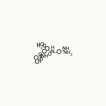 Cl.N=C(N)c1ccc(CNC(=O)c2cccc3ccc(NS(=O)(=O)c4cccc5cccnc45)cc23)cc1.O